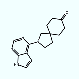 O=C1CCC2(CC1)CCN(c1ncnc3[nH]ccc13)C2